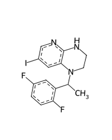 CC(c1cc(F)ccc1F)N1CCNc2ncc(I)cc21